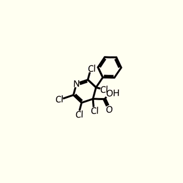 O=C(O)C1(Cl)C(Cl)=C(Cl)N=C(Cl)C1(Cl)c1ccccc1